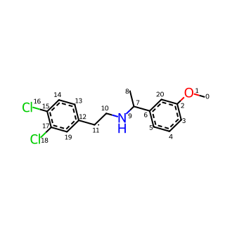 COc1cccc(C(C)NC[CH]c2ccc(Cl)c(Cl)c2)c1